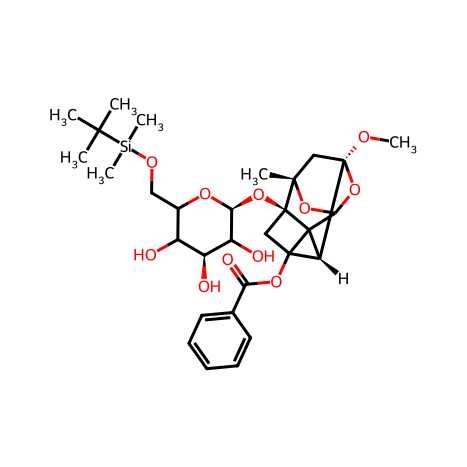 CO[C@]12C[C@]3(C)OC(O1)C14[C@H]2C1(OC(=O)c1ccccc1)C[C@@]43O[C@@H]1OC(CO[Si](C)(C)C(C)(C)C)C(O)[C@H](O)C1O